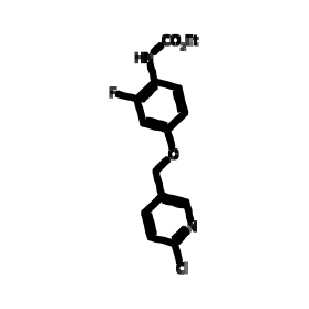 CCOC(=O)Nc1ccc(OCc2ccc(Cl)nc2)cc1F